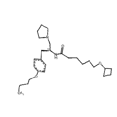 CCCCOc1ccc(C[C@@H](CN2CCCC2)NC(=O)CCCCCOC2CCC2)cc1